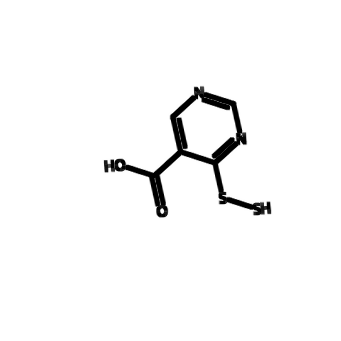 O=C(O)c1cncnc1SS